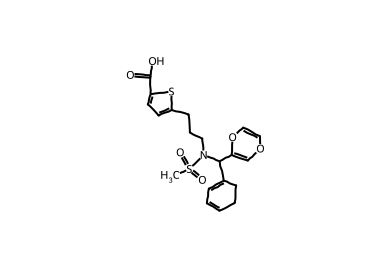 CS(=O)(=O)N(CCCc1ccc(C(=O)O)s1)C(C1=CC=CCC1)C1=COC=CO1